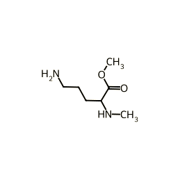 CNC(CCCN)C(=O)OC